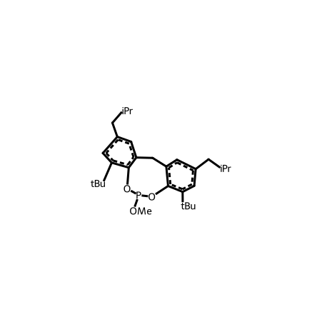 COP1Oc2c(cc(CC(C)C)cc2C(C)(C)C)Cc2cc(CC(C)C)cc(C(C)(C)C)c2O1